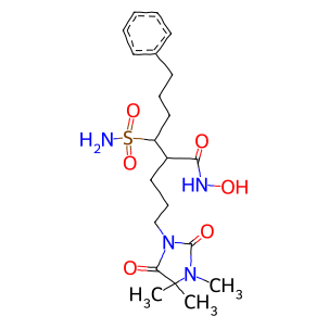 CN1C(=O)N(CCCC(C(=O)NO)C(CCCc2ccccc2)S(N)(=O)=O)C(=O)C1(C)C